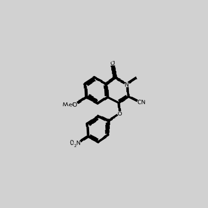 COc1ccc2c(=O)n(C)c(C#N)c(Oc3ccc([N+](=O)[O-])cc3)c2c1